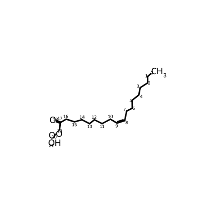 CCCCCCCC/C=C\CCCCCCCC(=O)OOO